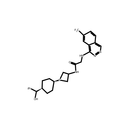 CC(C)C(O)[C@H]1CC[C@@H](N2CC(NC(=O)CNc3nncc4ccc(C(F)(F)F)cc34)C2)CC1